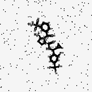 C[C@@H]1CC[C@@H](C(=O)NC(c2ccc(C(F)(F)F)cc2F)C2CC2)N1C(=O)c1cccc(S(C)(=O)=O)c1